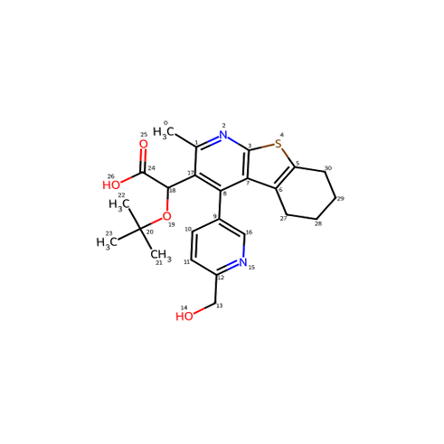 Cc1nc2sc3c(c2c(-c2ccc(CO)nc2)c1C(OC(C)(C)C)C(=O)O)CCCC3